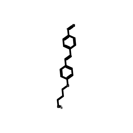 CCCCOc1ccc(C=Cc2ccc([C]=O)cc2)cc1